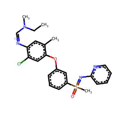 CCN(C)/C=N\c1cc(C)c(Oc2cccc(S(C)(=O)=Nc3ccccn3)c2)cc1Cl